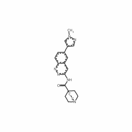 Cn1cc(-c2ccc3nnc(NC(=O)C45CCN(CC4)CC5)cc3c2)cn1